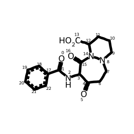 O=C(NC1C(=O)CCN2CCCC(C(=O)O)N2C1=O)c1ccccc1